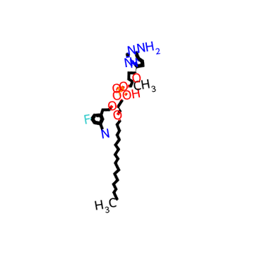 CCCCCCCCCCCCCCCCCCOC[C@H](COP(=O)(O)OC[C@]1(C)CC[C@H](c2ccc3c(N)ncnn23)O1)OCCc1cc(F)cc(C#N)c1